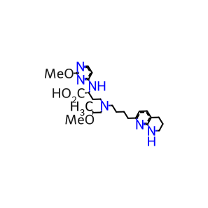 COc1nccc(N[C@@H](CCN(CCCCc2ccc3c(n2)NCCC3)C[C@@H](C)OC)C(=O)O)n1